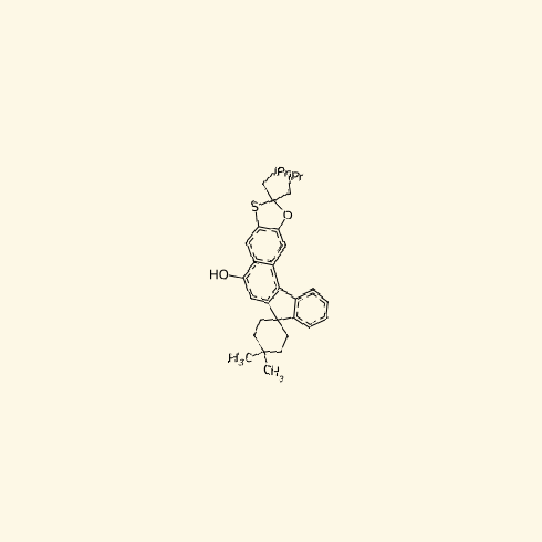 CC(C)CC1(CC(C)C)Oc2cc3c4c(cc(O)c3cc2S1)C1(CCC(C)(C)CC1)c1ccccc1-4